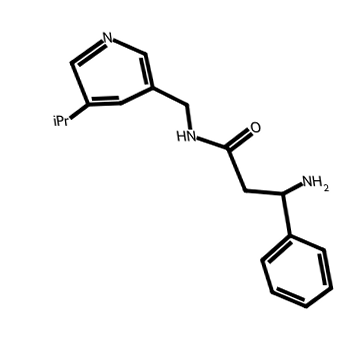 CC(C)c1cncc(CNC(=O)CC(N)c2ccccc2)c1